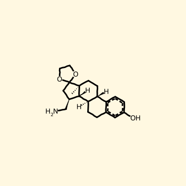 C[C@]12CC[C@@H]3c4ccc(O)cc4CC[C@H]3[C@@H]1[C@@H](CN)CC21OCCO1